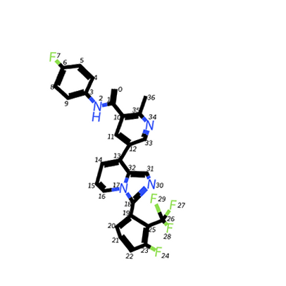 C=C(Nc1ccc(F)cc1)c1cc(-c2cccn3c(-c4cccc(F)c4C(F)(F)F)ncc23)cnc1C